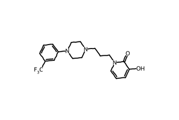 O=c1c(O)cccn1CCCN1CCN(c2cccc(C(F)(F)F)c2)CC1